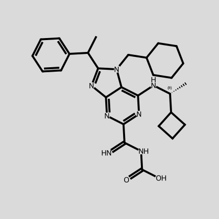 CC(c1ccccc1)c1nc2nc(C(=N)NC(=O)O)nc(N[C@H](C)C3CCC3)c2n1CC1CCCCC1